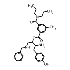 CCCN(CCC)C(=O)c1cc(C)cc(C(=O)OC(CNCc2ccccc2)C(N)Cc2ccc(O)cc2)c1